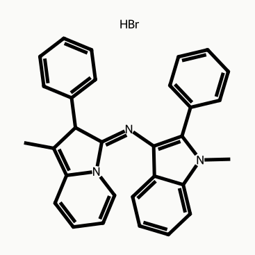 Br.CC1=C2C=CC=CN2C(=Nc2c(-c3ccccc3)n(C)c3ccccc23)C1c1ccccc1